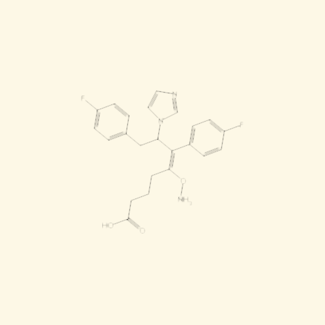 NOC(CCCC(=O)O)=C(c1ccc(F)cc1)C(Cc1ccc(F)cc1)n1ccnc1